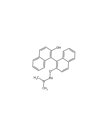 CN(C)POc1ccc2ccccc2c1-c1c(O)ccc2ccccc12